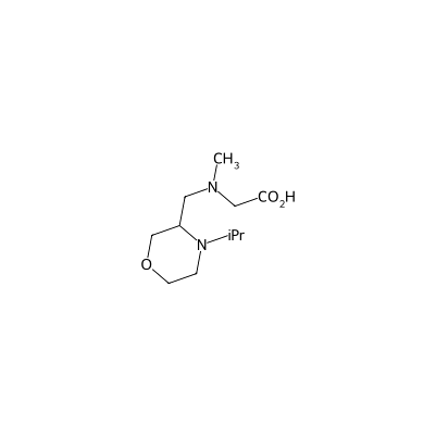 CC(C)N1CCOCC1CN(C)CC(=O)O